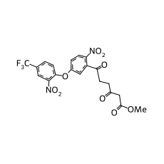 COC(=O)CC(=O)CCC(=O)c1cc(Oc2ccc(C(F)(F)F)cc2[N+](=O)[O-])ccc1[N+](=O)[O-]